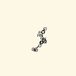 CS(=O)(=O)CCCOc1ccc2c(OCNc3ccc(Cl)cc3F)ncnc2c1.Cl